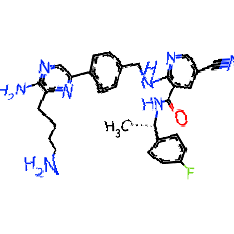 C[C@H](NC(=O)c1cc(C#N)cnc1NCc1ccc(-c2cnc(N)c(CCCCN)n2)cc1)c1ccc(F)cc1